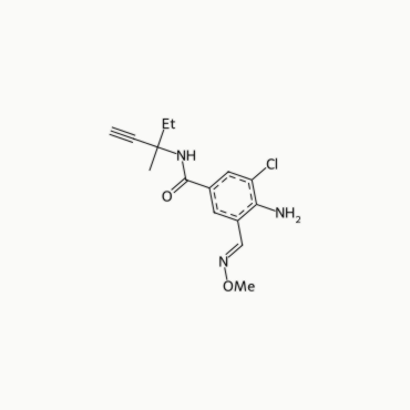 C#CC(C)(CC)NC(=O)c1cc(Cl)c(N)c(/C=N/OC)c1